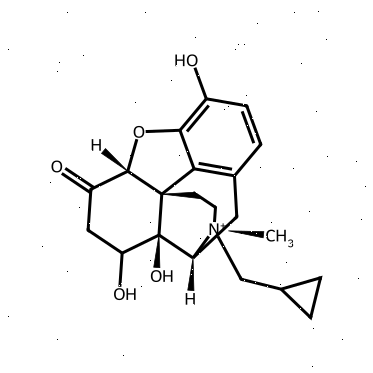 C[N@+]1(CC2CC2)CC[C@]23c4c5ccc(O)c4O[C@H]2C(=O)CC(O)[C@@]3(O)[C@H]1C5